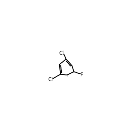 FC1[CH]C(Cl)=CC(Cl)=C1